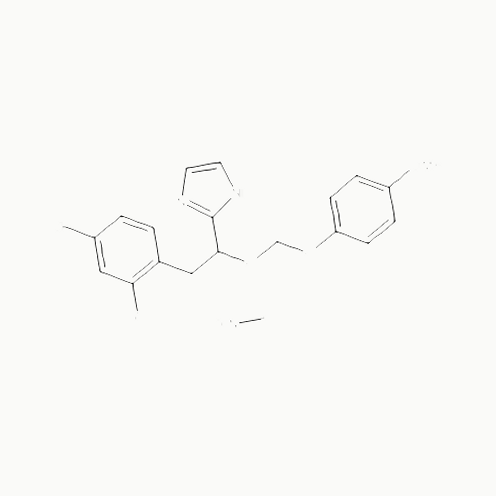 COc1ccc(OCOC(Cc2ccc(Cl)cc2Cl)c2ncc[nH]2)cc1.O=[N+]([O-])O